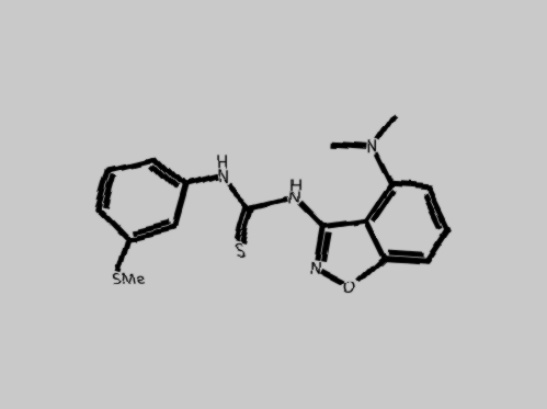 CSc1cccc(NC(=S)Nc2noc3cccc(N(C)C)c23)c1